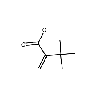 C=C(C([O])=O)C(C)(C)C